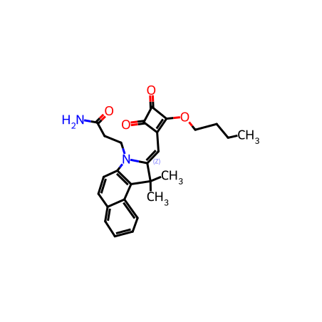 CCCCOc1c(/C=C2\N(CCC(N)=O)c3ccc4ccccc4c3C2(C)C)c(=O)c1=O